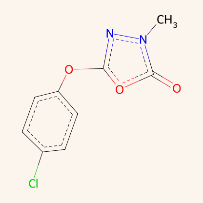 Cn1nc(Oc2ccc(Cl)cc2)oc1=O